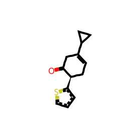 O=C1CC(C2CC2)=CC[C@H]1c1cccs1